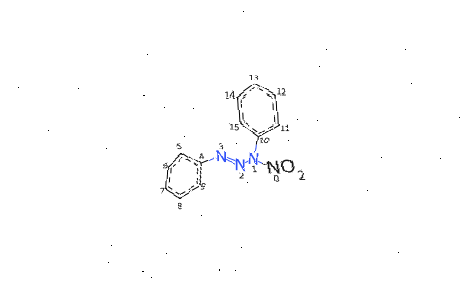 O=[N+]([O-])N(N=Nc1ccccc1)c1ccccc1